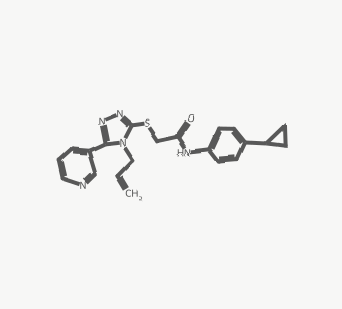 C=CCn1c(SCC(=O)Nc2ccc(C3CC3)cc2)nnc1-c1cccnc1